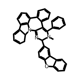 CN1C(c2ccccc2)=C2C(=NC1c1ccc3oc4ccccc4c3c1)N1c3c(cccc3-c3ccccc32)C2=CC=CCC21